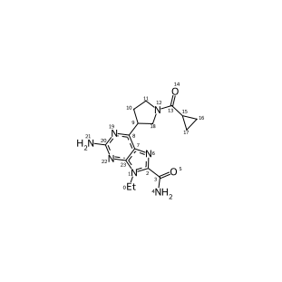 CCn1c(C(N)=O)nc2c(C3CCN(C(=O)C4CC4)C3)nc(N)nc21